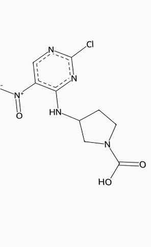 O=C(O)N1CCC(Nc2nc(Cl)ncc2[N+](=O)[O-])C1